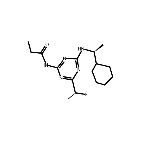 CCC(=O)Nc1nc(N[C@@H](C)C2CCCCC2)nc([C@@H](C)F)n1